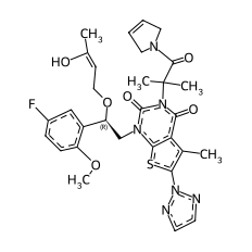 COc1ccc(F)cc1[C@H](Cn1c(=O)n(C(C)(C)C(=O)N2CC=CC2)c(=O)c2c(C)c(-n3nccn3)sc21)OCC=C(C)O